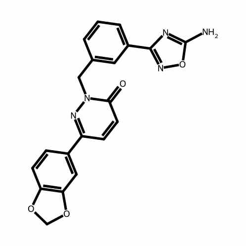 Nc1nc(-c2cccc(Cn3nc(-c4ccc5c(c4)OCO5)ccc3=O)c2)no1